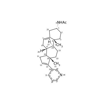 CC(=O)N[C@@H]1CC[C@@]2(C)C(=CC[C@H]3C4CC=C(c5cccnc5)[C@@]4(C)CC[C@@H]32)C1